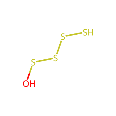 OSSSS